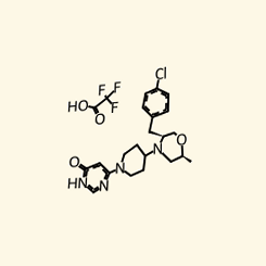 C[C@H]1CN(C2CCN(c3cc(=O)[nH]cn3)CC2)[C@@H](Cc2ccc(Cl)cc2)CO1.O=C(O)C(F)(F)F